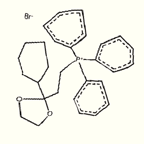 [Br-].c1ccc([P+](CCC2(C3CCCCC3)OCCO2)(c2ccccc2)c2ccccc2)cc1